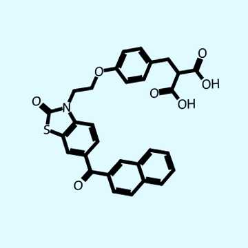 O=C(c1ccc2ccccc2c1)c1ccc2c(c1)sc(=O)n2CCOc1ccc(CC(C(=O)O)C(=O)O)cc1